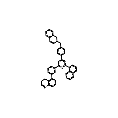 C1=CC(Cc2ccc(-c3cc(-c4cccc(-c5cccc6c5CCC=N6)c4)nc(-c4cccc5ccccc45)n3)cc2)Cc2ccccc21